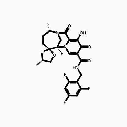 C[C@@H]1CO[C@]2(CC[C@H](C)N3C[C@H]2n2cc(C(=O)NCc4c(F)cc(F)cc4F)c(=O)c(O)c2C3=O)O1